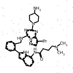 CC(C)c1cnn2c(NCc3ccccc3-c3cc4cccc(NC(=O)CCCN(C)C)c4[nH]3)nc(N3CCC(N)CC3)nc12